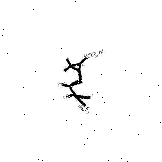 CC1(C)C(C=C(Cl)C(F)(F)C(F)(F)F)C1C(=O)O